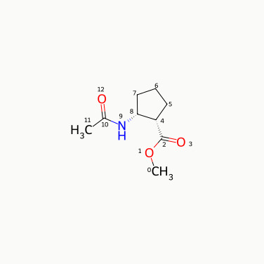 COC(=O)[C@H]1CCC[C@H]1NC(C)=O